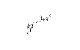 COCc1cn(CCCCC(=O)NCCSC)nn1